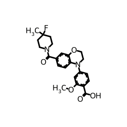 COc1cc(N2CCOc3cc(C(=O)N4CCC(C)(F)CC4)ccc32)ccc1C(=O)O